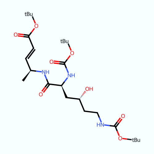 C[C@@H](/C=C/C(=O)OC(C)(C)C)NC(=O)[C@H](C[C@H](O)CCNC(=O)OC(C)(C)C)NC(=O)OC(C)(C)C